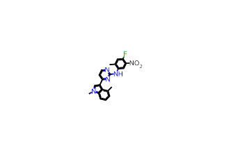 Cc1cc(F)c([N+](=O)[O-])cc1Nc1nccc(-c2cn(C)c3cccc(C)c23)n1